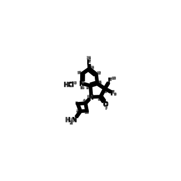 Cl.NC1CC(N2C(=O)C(F)(F)c3cc(F)cnc32)C1